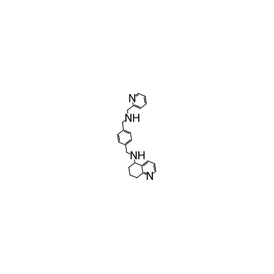 c1ccc(CNCc2ccc(CNC3CCCc4ncccc43)cc2)nc1